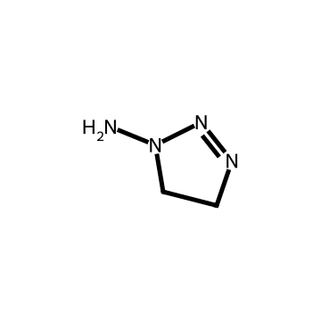 NN1CCN=N1